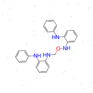 c1ccc(Nc2ccccc2NCONc2ccccc2Nc2ccccc2)cc1